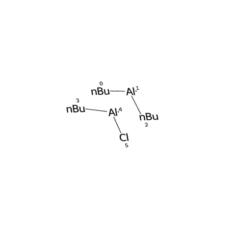 CCC[CH2][Al][CH2]CCC.CCC[CH2][Al][Cl]